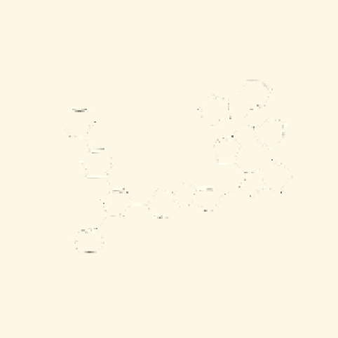 c1ccc(-c2ccc(-c3nc(-c4ccccc4)nc(-c4ccc5c(c4)oc4cc(-c6nc7ccccn7c6-c6cccc(S(c7ccccc7)(c7ccccc7)c7ccccc7)c6)ccc45)n3)cc2)cc1